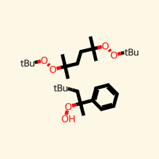 CC(C)(C)CC(C)(OO)c1ccccc1.CC(C)(C)OOC(C)(C)CCC(C)(C)OOC(C)(C)C